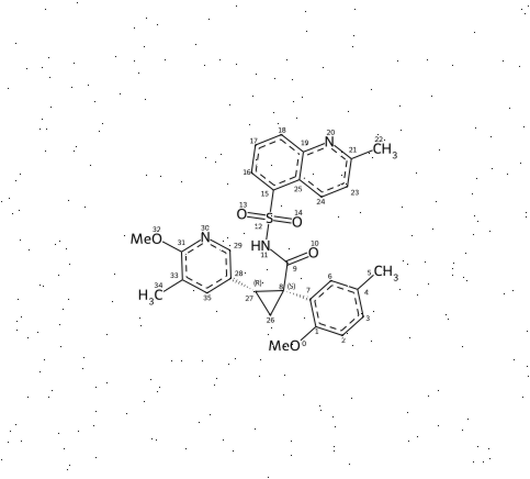 COc1ccc(C)cc1[C@]1(C(=O)NS(=O)(=O)c2cccc3nc(C)ccc23)C[C@@H]1c1cnc(OC)c(C)c1